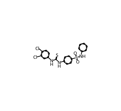 O=S(=O)(Nc1ccccc1)c1ccc(NC(=S)Nc2ccc(Cl)c(Cl)c2)cc1